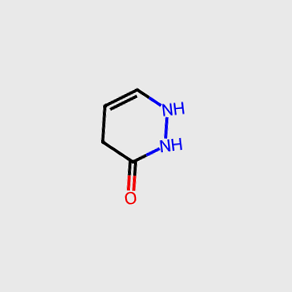 O=C1CC=CNN1